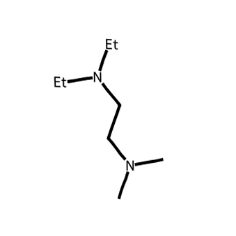 CCN(CC)CCN(C)C